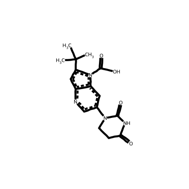 CC(C)(C)c1cc2ncc(N3CCC(=O)NC3=O)cc2n1C(=O)O